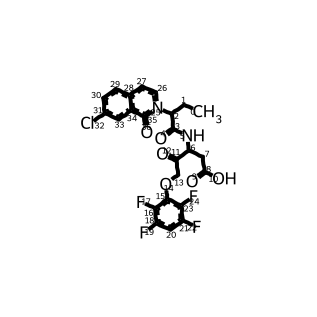 CCC(C(=O)NC(CC(=O)O)C(=O)COc1c(F)c(F)cc(F)c1F)n1ccc2ccc(Cl)cc2c1=O